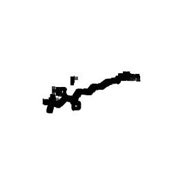 CCCCCCCCCCCCCCCC(=O)C(O)C[N+](C)(C)C.[I-]